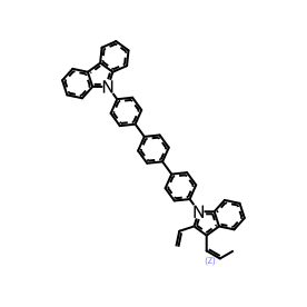 C=Cc1c(/C=C\C)c2ccccc2n1-c1ccc(-c2ccc(-c3ccc(-n4c5ccccc5c5ccccc54)cc3)cc2)cc1